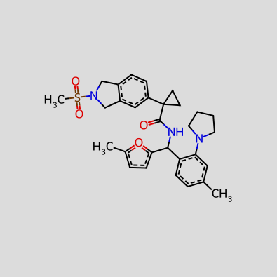 Cc1ccc(C(NC(=O)C2(c3ccc4c(c3)CN(S(C)(=O)=O)C4)CC2)c2ccc(C)o2)c(N2CCCC2)c1